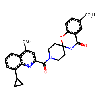 COc1cc(C(=O)N2CCC3(CC2)NC(=O)c2cc(C(=O)O)ccc2O3)nc2c(C3CC3)cccc12